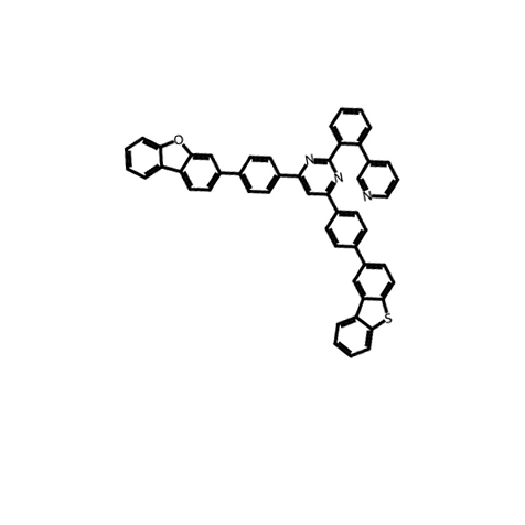 c1cncc(-c2ccccc2-c2nc(-c3ccc(-c4ccc5c(c4)oc4ccccc45)cc3)cc(-c3ccc(-c4ccc5sc6ccccc6c5c4)cc3)n2)c1